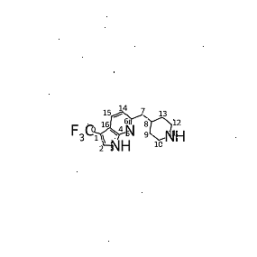 FC(F)(F)c1c[nH]c2nc(CC3CCNCC3)ccc12